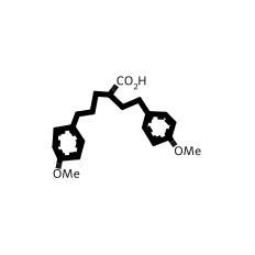 COc1ccc(CCCC(CCc2ccc(OC)cc2)C(=O)O)cc1